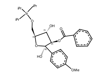 COc1ccc([C@@]2(O)O[C@@H](CO[Si](C(C)C)(C(C)C)C(C)C)[C@H](O)[C@H]2OC(=O)c2ccccc2)cc1